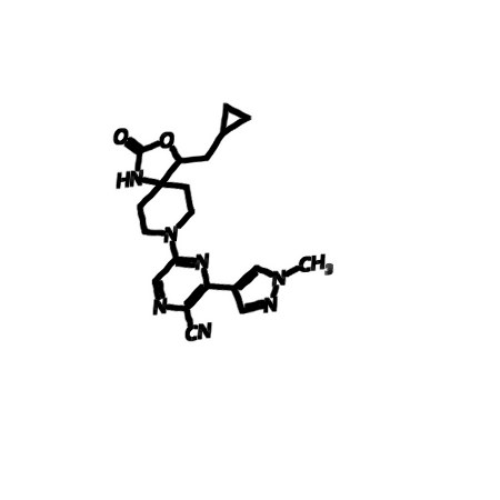 Cn1cc(-c2nc(N3CCC4(CC3)NC(=O)OC4CC3CC3)cnc2C#N)cn1